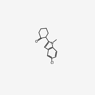 Cn1c(C2CCCCC2=O)cc2cc(Cl)ccc21